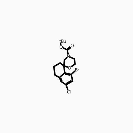 CC(C)(C)OC(=O)N1CCOC2(CCCc3cc(Cl)cc(Br)c32)C1